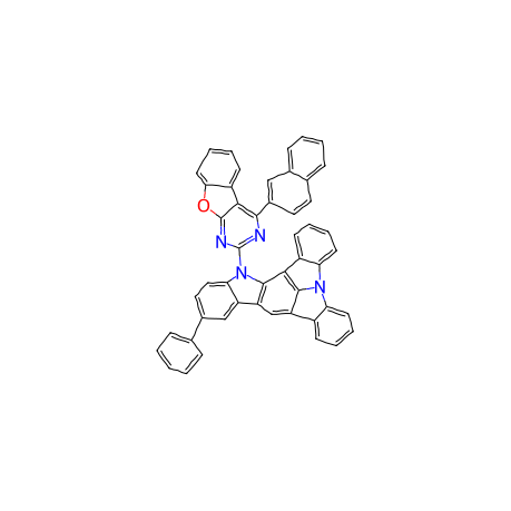 c1ccc(-c2ccc3c(c2)c2cc4c5ccccc5n5c6ccccc6c(c2n3-c2nc(-c3ccc6ccccc6c3)c3c(n2)oc2ccccc23)c45)cc1